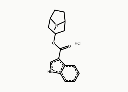 CN1C2CCC1CC(OC(=O)c1c[nH]c3ccccc13)C2.Cl